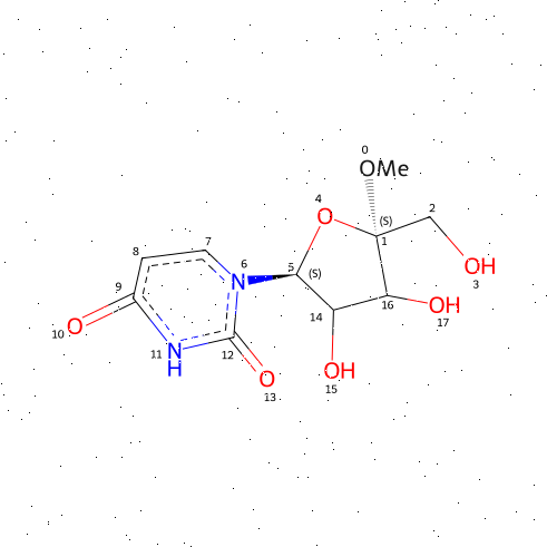 CO[C@@]1(CO)O[C@H](n2ccc(=O)[nH]c2=O)C(O)C1O